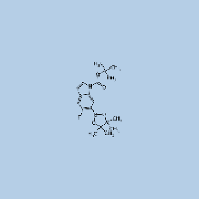 CC(C)(C)OC(=O)n1ccc2cc(F)c(B3OC(C)(C)C(C)(C)O3)cc21